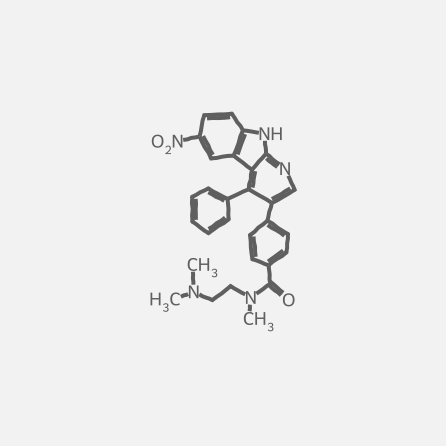 CN(C)CCN(C)C(=O)c1ccc(-c2cnc3[nH]c4ccc([N+](=O)[O-])cc4c3c2-c2ccccc2)cc1